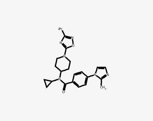 Cc1nccn1-c1ccc(C(=O)N(C2CC2)C2CCN(c3nc(C(C)C)no3)CC2)cc1